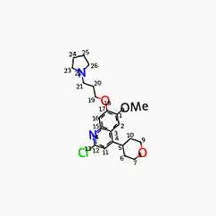 COc1cc2c(C3CCOCC3)cc(Cl)nc2cc1OCCCN1CCCC1